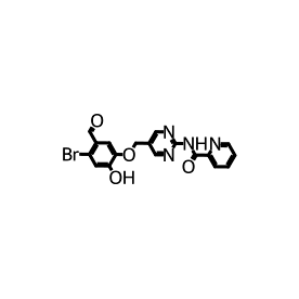 O=Cc1cc(OCc2cnc(NC(=O)c3ccccn3)nc2)c(O)cc1Br